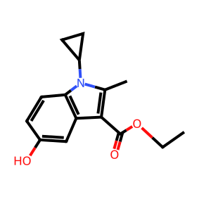 CCOC(=O)c1c(C)n(C2CC2)c2ccc(O)cc12